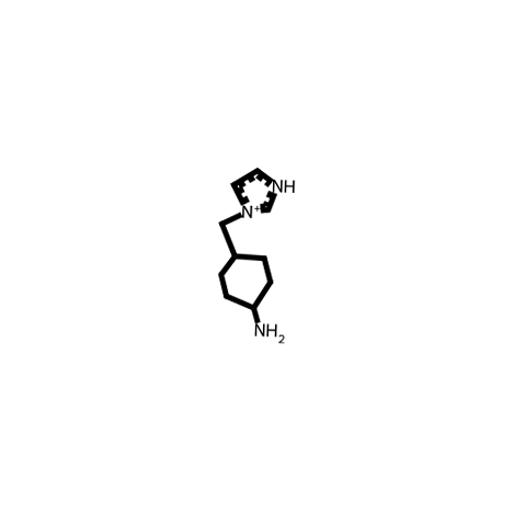 NC1CCC(C[n+]2cc[nH]c2)CC1